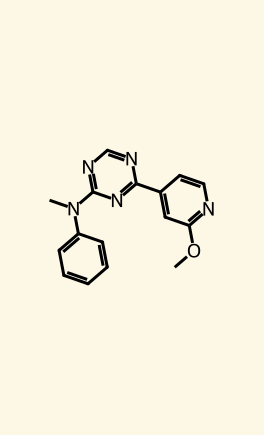 COc1cc(-c2ncnc(N(C)c3ccccc3)n2)ccn1